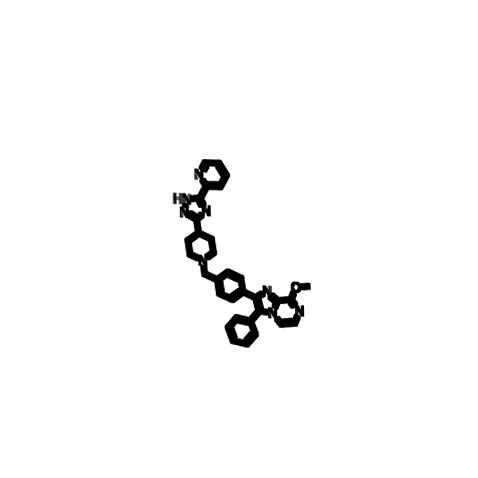 COc1nccn2c(-c3ccccc3)c(-c3ccc(CN4CCC(c5n[nH]c(-c6ccccn6)n5)CC4)cc3)nc12